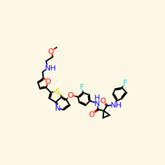 COCCNCc1ccc(-c2cc3nccc(Oc4ccc(NC(=O)C5(C(=O)Nc6ccc(F)cc6)CC5)cc4F)c3s2)o1